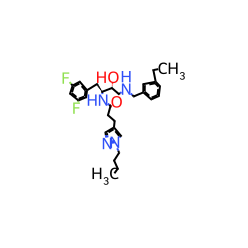 CCCCn1cc(CCC(=O)N[C@@H](Cc2cc(F)cc(F)c2)[C@H](O)CNCc2cccc(CC)c2)cn1